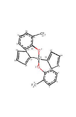 FC(F)(F)c1ccccc1[O][Zr]([O]c1ccccc1C(F)(F)F)([C]1=CC=CC1)[C]1=CC=CC1